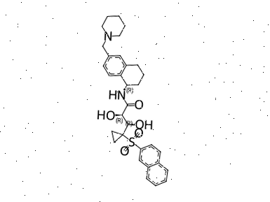 O=C(N[C@@H]1CCCc2cc(CN3CCCCC3)ccc21)[C@H](O)[C@@H](O)C1(S(=O)(=O)c2ccc3ccccc3c2)CC1